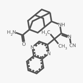 CC(C)(/C(=N\C#N)NC1C2CC3CC1CC(C(N)=O)(C3)C2)c1cnc2ccccc2n1